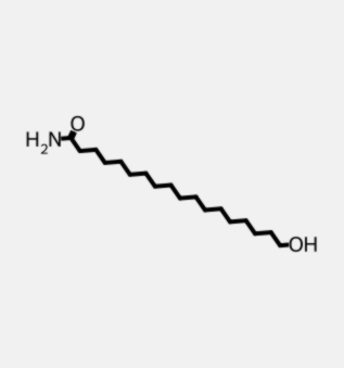 NC(=O)CCCCCCCCCCCCCCCCCO